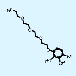 CCCc1c(OCCOCCOCCOCCC#N)ccc(C(C)=O)c1O